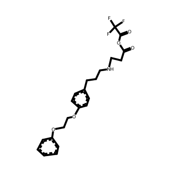 O=C(CCNCCCc1ccc(OCCOc2ccccc2)cc1)OC(=O)C(F)(F)F